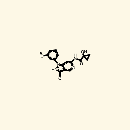 COc1cccc(-n2[nH]c(=O)c3cnc(NC(=O)C4(O)CC4)cc32)c1